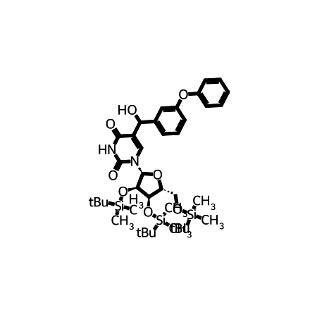 CC(C)(C)[Si](C)(C)OC[C@H]1O[C@@H](n2cc(C(O)c3cccc(Oc4ccccc4)c3)c(=O)[nH]c2=O)[C@H](O[Si](C)(C)C(C)(C)C)[C@@H]1O[Si](C)(C)C(C)(C)C